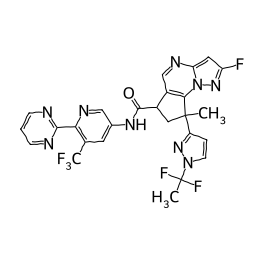 CC1(c2ccn(C(C)(F)F)n2)CC(C(=O)Nc2cnc(-c3ncccn3)c(C(F)(F)F)c2)c2cnc3cc(F)nn3c21